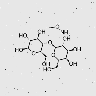 CON.OC[C@H]1O[C@@H](O[C@H]2[C@H](O)[C@@H](O)[C@H](O)O[C@@H]2CO)[C@H](O)[C@@H](O)[C@H]1O